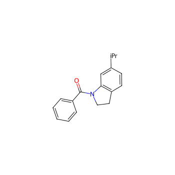 CC(C)c1ccc2c(c1)N(C(=O)c1ccccc1)CC2